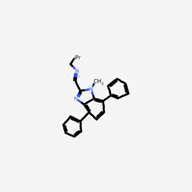 CC(C)C/N=C/c1nc2c(-c3ccccc3)ccc(-c3ccccc3)c2n1C